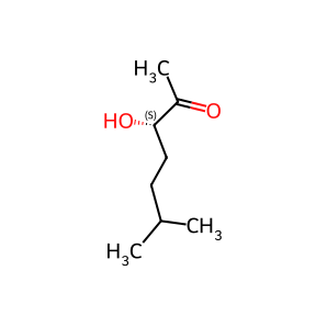 CC(=O)[C@@H](O)CCC(C)C